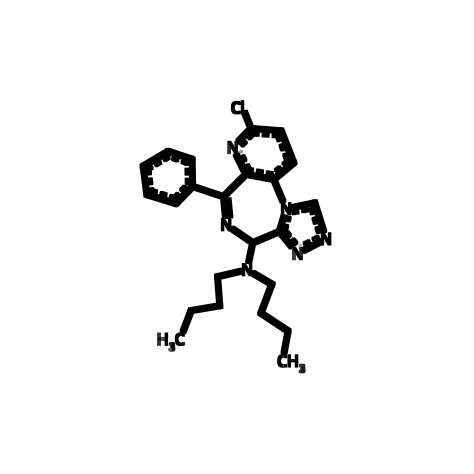 CCCCN(CCCC)C1N=C(c2ccccc2)c2nc(Cl)ccc2-n2cnnc21